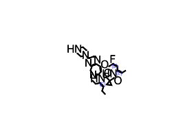 C/C=C(\C=C(\F)COC1=CC=NCc2nc(N3CCNCC3)cnc21)NC(=O)C1(C(=O)N/C(=C/CC)CC)CC1